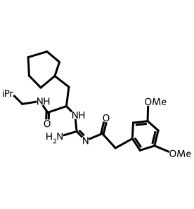 COc1cc(CC(=O)N=C(N)NC(CC2CCCCC2)C(=O)NCC(C)C)cc(OC)c1